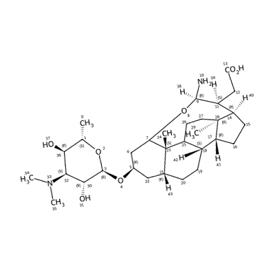 C[C@@H]1O[C@@H](O[C@H]2CC3O[C@@H](N)[C@@H](CC(=O)O)[C@H]4CC[C@@H]5[C@@H]6CC[C@H](C2)[C@@]3(C)C6CC[C@@]45C)[C@H](O)[C@@H](N(C)C)[C@H]1O